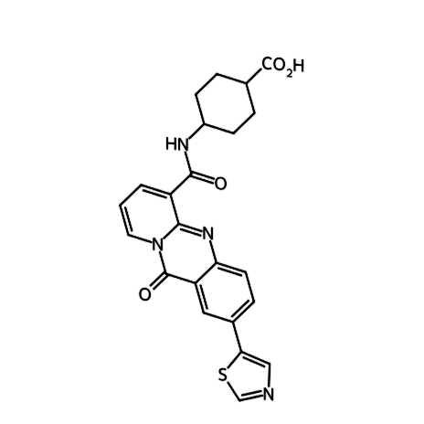 O=C(NC1CCC(C(=O)O)CC1)c1cccn2c(=O)c3cc(-c4cncs4)ccc3nc12